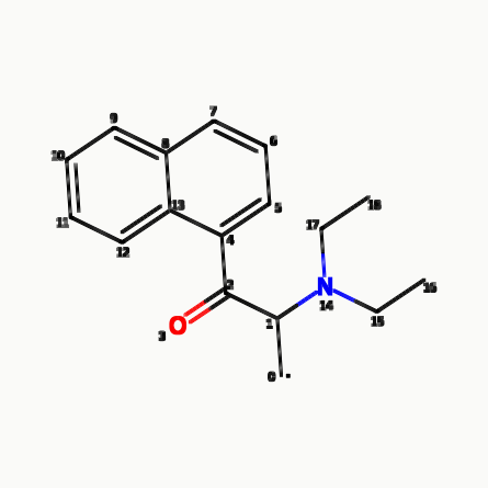 [CH2]C(C(=O)c1cccc2ccccc12)N(CC)CC